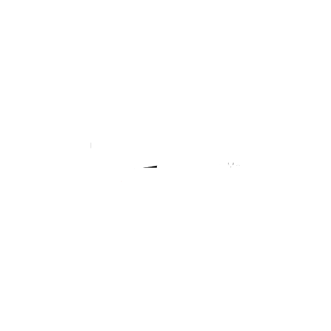 COc1ccc([C@H]2O[C@@H]2C)cc1